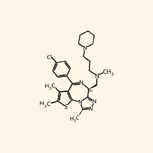 Cc1sc2c(c1C)C(c1ccc(Cl)cc1)=N[C@@H](CN(C)CCCN1CCCCC1)c1nnc(C)n1-2